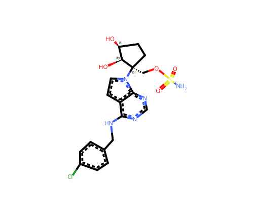 NS(=O)(=O)OC[C@@]1(n2ccc3c(NCc4ccc(Cl)cc4)ncnc32)CC[C@H](O)[C@@H]1O